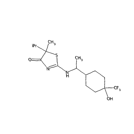 CC(NC1=NC(=O)C(C)(C(C)C)S1)C1CCC(O)(C(F)(F)F)CC1